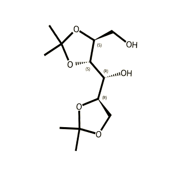 CC1(C)O[C@@H]([C@H](O)[C@H]2COC(C)(C)O2)[C@H](CO)O1